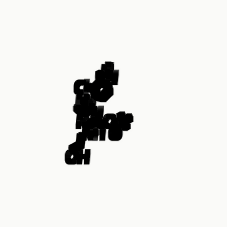 Cn1cc2c(Cl)c(-n3ncc4nc(NCCCO)c(COS(=O)C(C)(C)C)nc43)ccc2n1